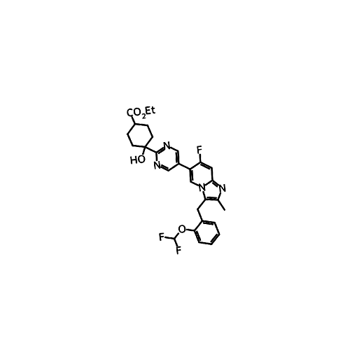 CCOC(=O)C1CCC(O)(c2ncc(-c3cn4c(Cc5ccccc5OC(F)F)c(C)nc4cc3F)cn2)CC1